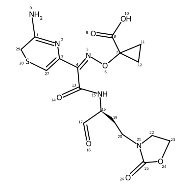 NC1=NC(/C(=N/OC2(C(=O)O)CC2)C(=O)N[C@H](C=O)CCN2CCOC2=O)=CSC1